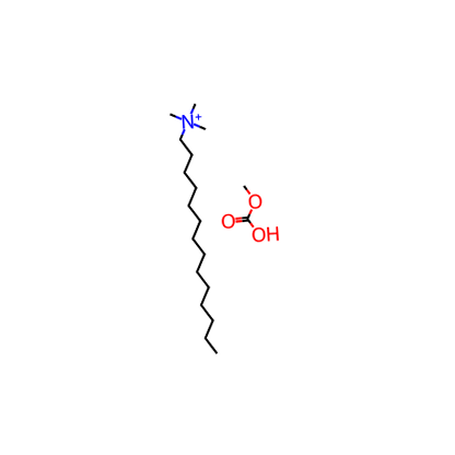 CCCCCCCCCCCCCC[N+](C)(C)C.COC(=O)O